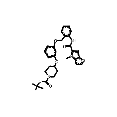 Cn1c(C(=O)Nc2ccccc2COc2cccc(OC3CCN(C(=O)OC(C)(C)C)CC3)c2)cc2sccc21